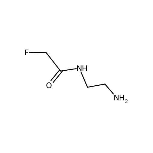 NCCNC(=O)CF